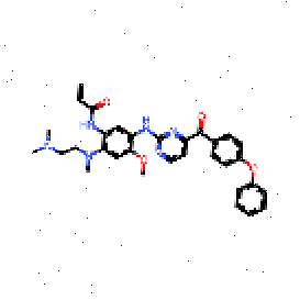 C=CC(=O)Nc1cc(Nc2nccc(C(=O)c3ccc(Oc4ccccc4)cc3)n2)c(OC)cc1N(C)CCN(C)C